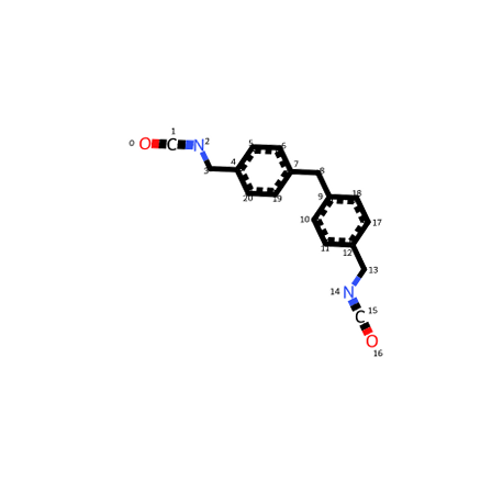 O=C=NCc1ccc(Cc2ccc(CN=C=O)cc2)cc1